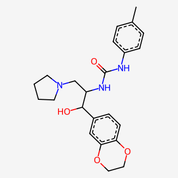 Cc1ccc(NC(=O)NC(CN2CCCC2)C(O)c2ccc3c(c2)OCCO3)cc1